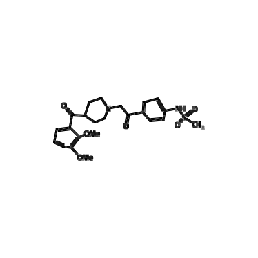 COc1cccc(C(=O)C2CCN(CC(=O)c3ccc(NS(C)(=O)=O)cc3)CC2)c1OC